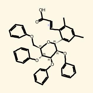 Cc1cc(C)c(/C=C/C(=O)O)c([C@H]2O[C@H](COc3ccccc3)[C@@H](Oc3ccccc3)[C@H](Oc3ccccc3)[C@@H]2Oc2ccccc2)c1